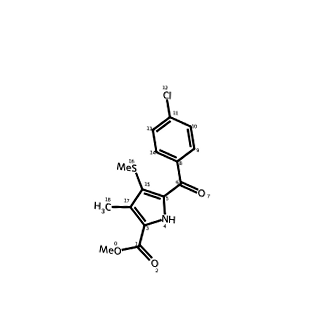 COC(=O)c1[nH]c(C(=O)c2ccc(Cl)cc2)c(SC)c1C